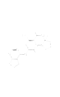 Cc1cc(Nc2ncnc3[nH]ccc23)c(=O)n2c1C(=O)NC1(C)CCCN21